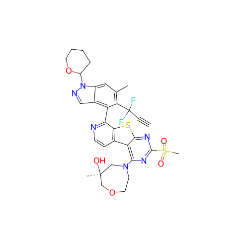 C#CC(F)(F)c1c(C)cc2c(cnn2C2CCCCO2)c1-c1nccc2c1sc1nc(S(C)(=O)=O)nc(N3CCOC[C@@](C)(O)C3)c12